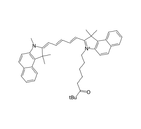 CN1/C(=C/C=C/C=C/C2=[N+](CCCCCC(=O)C(C)(C)C)c3ccc4ccccc4c3C2(C)C)C(C)(C)c2c1ccc1ccccc21